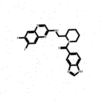 O=C(c1ccc2[nH]cnc2c1)N1CCCCC1CNc1cnc2cc(F)c(F)cc2n1